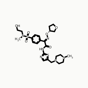 CN1CCN(Cc2cnc(NC(=O)/C(=N/O[C@@H]3CCOC3)c3ccc(S(=O)(=O)N(C)CCO)cc3)s2)CC1